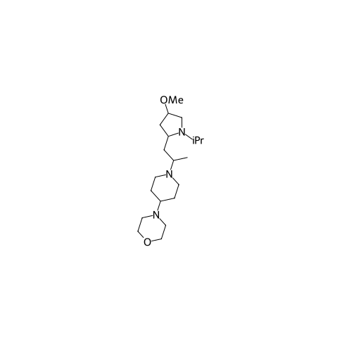 COC1CC(CC(C)N2CCC(N3CCOCC3)CC2)N(C(C)C)C1